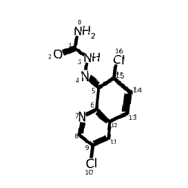 NC(=O)NN=C1c2ncc(Cl)cc2C=CC1Cl